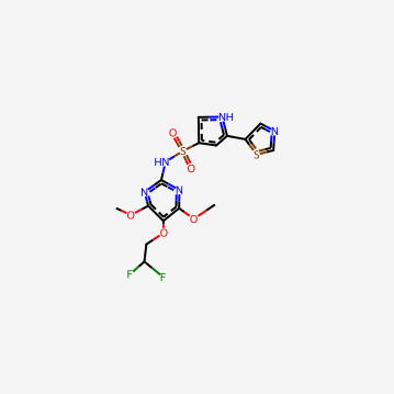 COc1nc(NS(=O)(=O)c2c[nH]c(-c3cncs3)c2)nc(OC)c1OCC(F)F